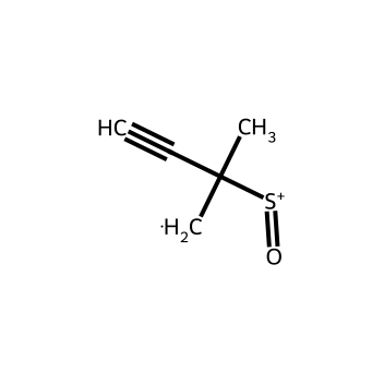 C#CC([CH2])(C)[S+]=O